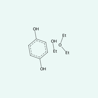 CCO.CCOCC.Oc1ccc(O)cc1